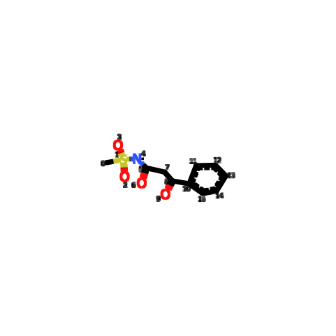 CS(=O)(=O)[N]C(=O)CC(=O)c1ccccc1